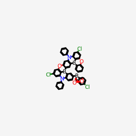 Clc1cc2c3c(c1)Oc1cc4c(cc1B3c1ccccc1O2)B1c2cc3c(cc2Oc2cc(Cl)cc(c21)N4c1ccccc1)N(c1ccccc1)c1cc(Cl)cc2c1B3c1ccccc1O2